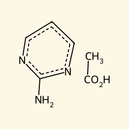 CC(=O)O.Nc1ncccn1